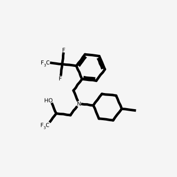 CC1CCC(N(Cc2ccccc2C(F)(F)C(F)(F)F)CC(O)C(F)(F)F)CC1